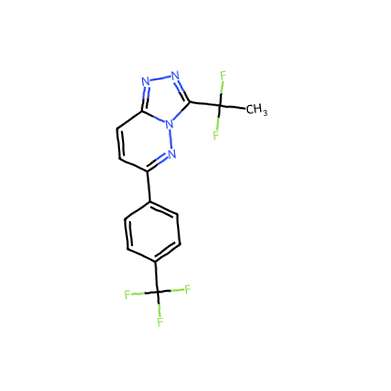 CC(F)(F)c1nnc2ccc(-c3ccc(C(F)(F)F)cc3)nn12